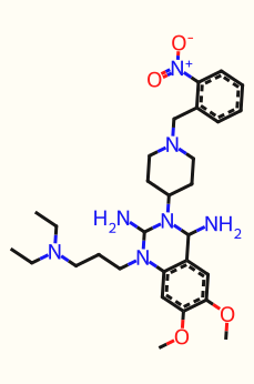 CCN(CC)CCCN1c2cc(OC)c(OC)cc2C(N)N(C2CCN(Cc3ccccc3[N+](=O)[O-])CC2)C1N